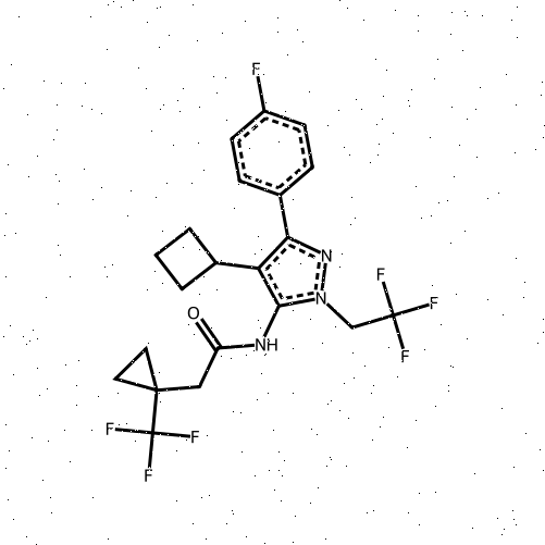 O=C(CC1(C(F)(F)F)CC1)Nc1c(C2CCC2)c(-c2ccc(F)cc2)nn1CC(F)(F)F